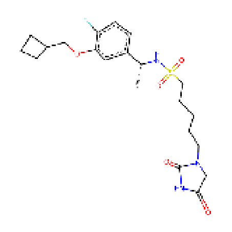 C[C@@H](NS(=O)(=O)CCCCCN1CC(=O)NC1=O)c1ccc(F)c(OCC2CCC2)c1